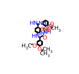 CCOc1cc(C(Nc2ccc(C(=N)N)cc2)C(=O)NNS(=O)(=O)c2ccccc2S(C)(=O)=O)ccc1OC(C)C